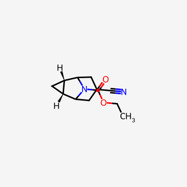 CCOC(=O)N1C2CC(C#N)CC1[C@@H]1C[C@H]21